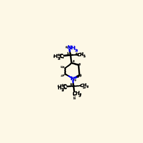 CC(C)(N)C1CCN(C(C)(C)C)CC1